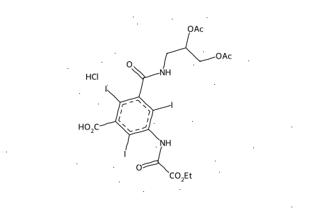 CCOC(=O)C(=O)Nc1c(I)c(C(=O)O)c(I)c(C(=O)NCC(COC(C)=O)OC(C)=O)c1I.Cl